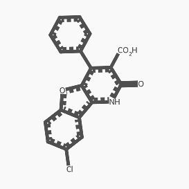 O=C(O)c1c(-c2ccccc2)c2oc3ccc(Cl)cc3c2[nH]c1=O